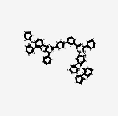 c1ccc(-c2nc(-c3cccc(-c4ccc(-c5nc(-c6ccccc6)c6sc7c(ccc8c7c7ccccc7n8-c7ccccc7)c6n5)cc4)c3)nc3c2sc2cc4c(cc23)c2ccccc2n4-c2cccc3oc4ccccc4c23)cc1